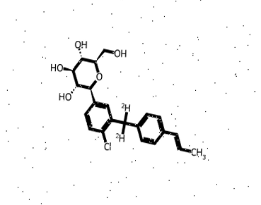 [2H]C([2H])(c1ccc(/C=C/C)cc1)c1cc([C@@H]2O[C@H](CO)[C@@H](O)[C@H](O)[C@H]2O)ccc1Cl